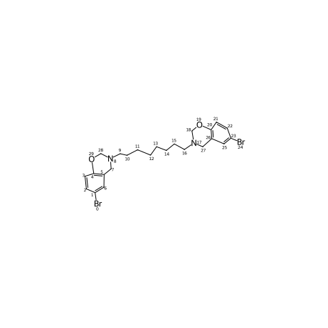 Brc1ccc2c(c1)CN(CCCCCCCCN1COc3ccc(Br)cc3C1)CO2